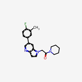 Cc1cc(-c2cnc3ccn(CC(=O)N4CCCCC4)c3c2)ccc1F